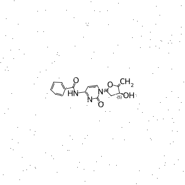 C=C1O[C@@H](n2ccc(NC(=O)c3ccccc3)nc2=O)C[C@@H]1O